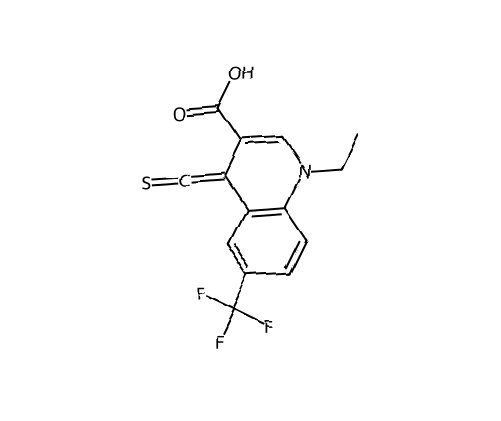 CCN1C=C(C(=O)O)C(=C=S)c2cc(C(F)(F)F)ccc21